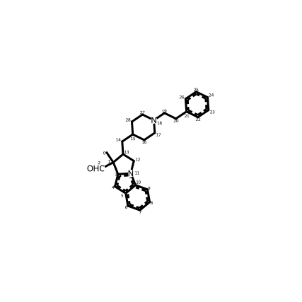 CC1(C=O)c2cc3ccccc3n2CC1CC1CCN(CCc2ccccc2)CC1